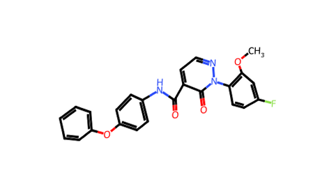 COc1cc(F)ccc1-n1nccc(C(=O)Nc2ccc(Oc3ccccc3)cc2)c1=O